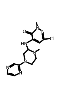 CN1CCN(c2cnccn2)CC1Nc1cc(Cl)nn(C)c1=O